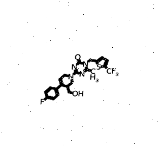 Cc1nc(N2CC=C(c3ccc(F)cc3)C(CO)C2)nc(=O)n1Cc1ccc(C(F)(F)F)s1